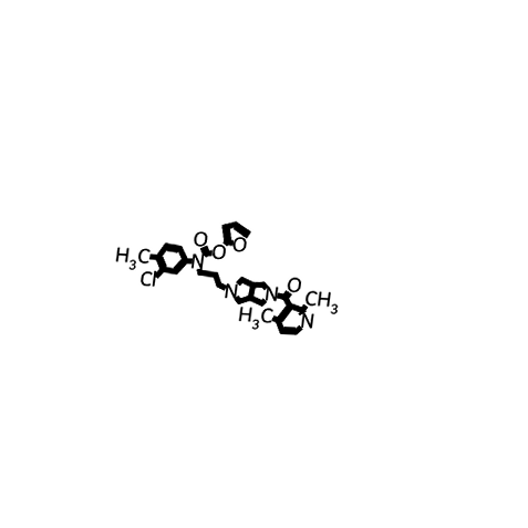 Cc1ccc(N(CCCN2CC3CN(C(=O)c4c(C)ccnc4C)CC3C2)C(=O)Oc2ccco2)cc1Cl